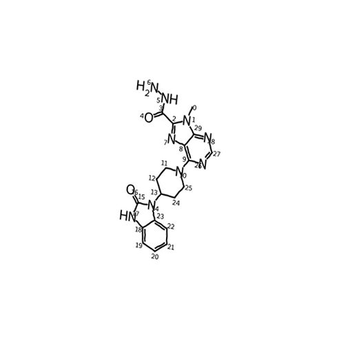 Cn1c(C(=O)NN)nc2c(N3CCC(n4c(=O)[nH]c5ccccc54)CC3)ncnc21